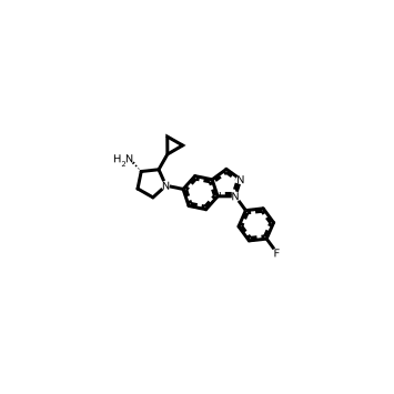 N[C@H]1CCN(c2ccc3c(cnn3-c3ccc(F)cc3)c2)C1C1CC1